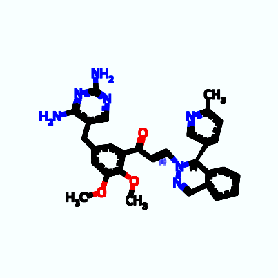 COc1cc(Cc2cnc(N)nc2N)cc(C(=O)/C=C/N2N=Cc3ccccc3[C@@H]2c2ccc(C)nc2)c1OC